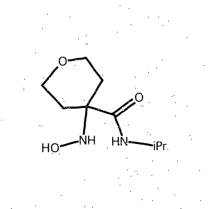 CC(C)NC(=O)C1(NO)CCOCC1